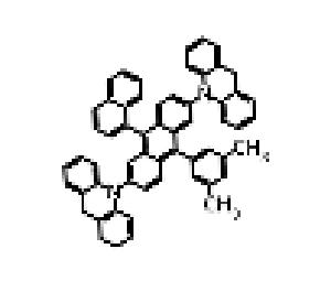 Cc1cc(C)cc(-c2c3cc(N4c5ccccc5Cc5ccccc54)ccc3c(-c3cccc4ccccc34)c3cc(N4C5=C(CCC=C5)Cc5ccccc54)ccc23)c1